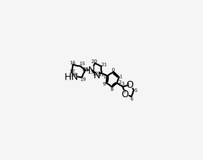 c1cc(C2OCCO2)ccc1C1=NN([C@@H]2CCCNC2)CC1